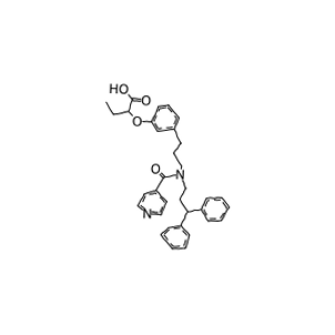 CCC(Oc1cccc(CCCN(CCC(c2ccccc2)c2ccccc2)C(=O)c2ccncc2)c1)C(=O)O